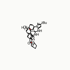 Cc1ccc(-n2nc(C(C)(C)C)cc2NC(=O)Nc2cccc(CC3CC4CCC(C3)N4C(=O)c3cc(-c4ccc(Cl)cc4)cs3)c2)cc1